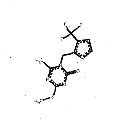 CSc1nc(C)n(Cc2sccc2C(F)(F)F)c(=O)n1